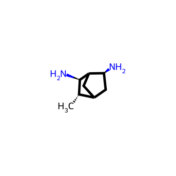 C[C@H]1C2CC([C@@H](N)C2)[C@@H]1N